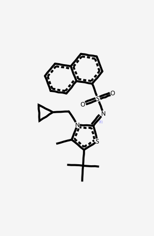 Cc1c(C(C)(C)C)s/c(=N/S(=O)(=O)c2cccc3ccccc23)n1CC1CC1